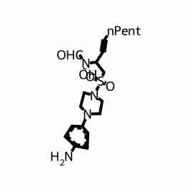 CCCCCC#CC(CS(=O)(=O)N1CCN(c2ccc(N)cc2)CC1)N(O)C=O